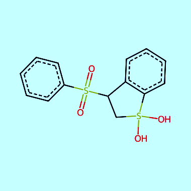 O=S(=O)(c1ccccc1)C1CS(O)(O)c2ccccc21